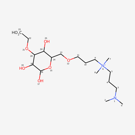 CN(C)CCC[N+](C)(C)CCCOCC1OC(O)C(O)C(OCC(=O)O)C1O